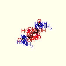 Nc1nc2c(ncn2[C@@H]2O[C@H](C(C[C@H]3O[C@@H](n4cnc5c(=O)[nH]c(N)nc54)[C@H](O)[C@@H]3OP(=O)(O)O)OP(=O)(O)O)[C@@H](O)[C@H]2O)c(=O)[nH]1